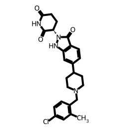 Cc1cc(Cl)ccc1CN1CCC(c2ccc3c(=O)n([C@H]4CCC(=O)NC4=O)[nH]c3c2)CC1